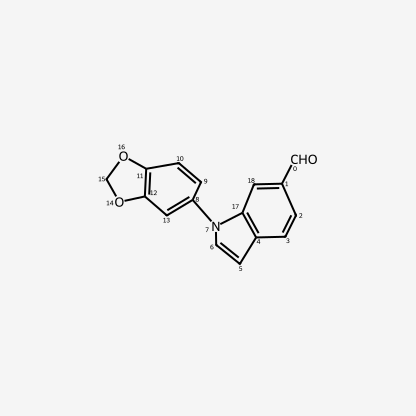 O=Cc1ccc2ccn(-c3ccc4c(c3)OCO4)c2c1